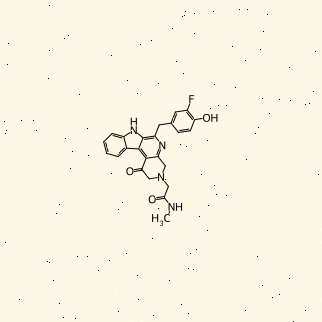 CNC(=O)CN1CC(=O)c2c(nc(Cc3ccc(O)c(F)c3)c3[nH]c4ccccc4c23)C1